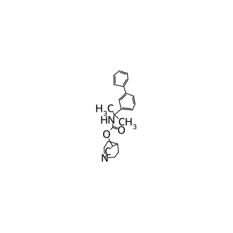 CC(C)(NC(=O)OC1CN2CCC1CC2)c1cccc(-c2ccccc2)c1